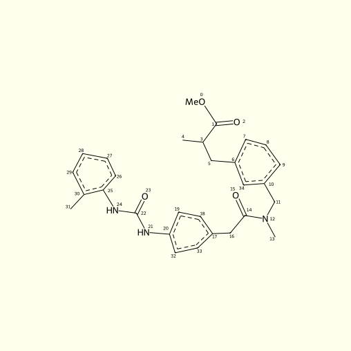 COC(=O)C(C)Cc1cccc(CN(C)C(=O)Cc2ccc(NC(=O)Nc3ccccc3C)cc2)c1